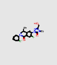 CCn1c(CO)nn(-c2cc3c(cc2F)C(=O)N(c2ccccc2Cl)CC3C(C)C)c1=O